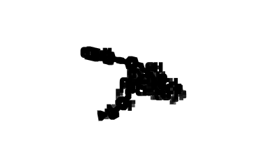 CN1C2COCC1CN(c1ccc(C#Cc3ccc(CC(NC(=O)C(NC(=O)OCCc4c(F)cc(-c5ccn(C6CC6)n5)cc4F)C(C)(C)C(F)(F)F)C(O)CNNC(=O)C(NC(=O)O)C(C)(C)C(F)(F)F)cc3)cn1)C2